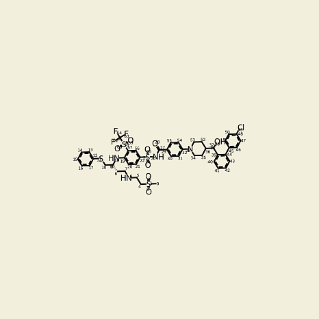 CS(=O)(=O)CCNCC[C@H](CSc1ccccc1)Nc1ccc(S(=O)(=O)NC(=O)c2ccc(N3CCC([C@@H](O)c4ccccc4-c4ccc(Cl)cc4)CC3)cc2)cc1S(=O)(=O)C(F)(F)F